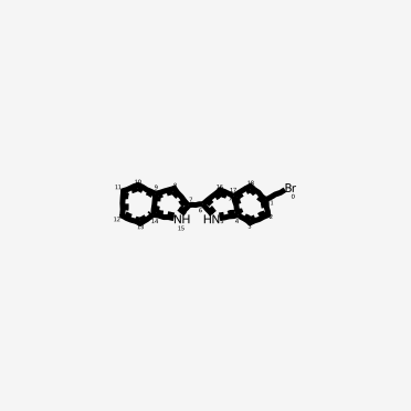 Brc1ccc2[nH]c(-c3cc4ccccc4[nH]3)cc2c1